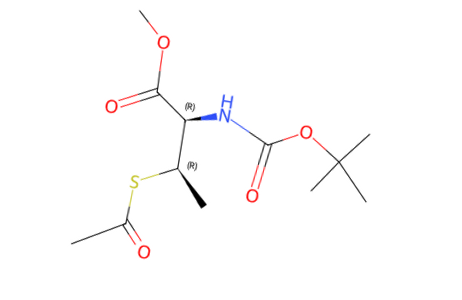 COC(=O)[C@@H](NC(=O)OC(C)(C)C)[C@@H](C)SC(C)=O